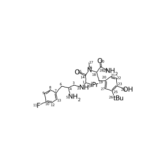 CC(C)C(NCC(N)Cc1ccc(F)cc1)C(=O)N(C)C(Cc1ccc(O)c(C(C)(C)C)c1)C(N)=O